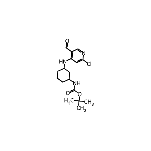 CC(C)(C)OC(=O)NC1CCCC(Nc2cc(Cl)ncc2C=O)C1